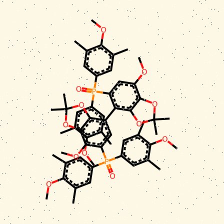 COc1cc(P(=O)(c2cc(C)c(OC)c(C)c2)c2cc(C)c(OC)c(C)c2)c(-c2cc(P(=O)(c3cc(C)c(OC)c(C)c3)c3cc(C)c(OC)c(C)c3)c(OC)c3c2OC(C)(C)O3)c2c1OC(C)(C)O2